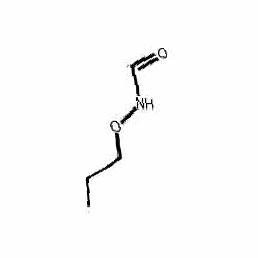 CCCON[C]=O